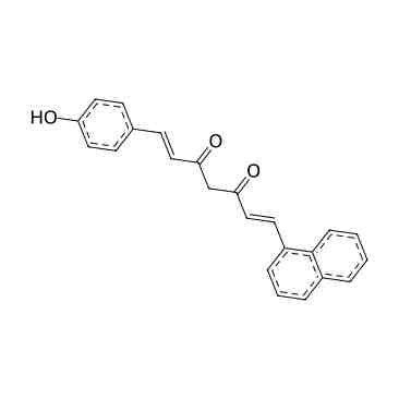 O=C(C=Cc1ccc(O)cc1)CC(=O)C=Cc1cccc2ccccc12